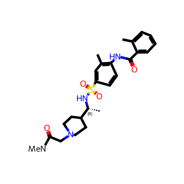 CNC(=O)CN1CCC([C@@H](C)NS(=O)(=O)c2ccc(NC(=O)c3ccccc3C)c(C)c2)CC1